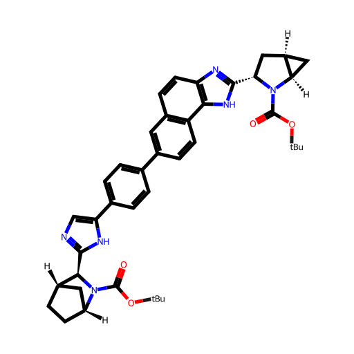 CC(C)(C)OC(=O)N1[C@@H]2CC[C@@H](C2)[C@H]1c1ncc(-c2ccc(-c3ccc4c(ccc5nc([C@@H]6C[C@H]7C[C@H]7N6C(=O)OC(C)(C)C)[nH]c54)c3)cc2)[nH]1